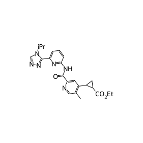 CCOC(=O)C1CC1c1cc(C(=O)Nc2cccc(-c3nncn3C(C)C)n2)ncc1C